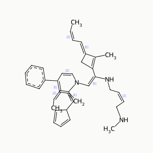 C=C/C=C(\C=C/N(/C=C(/NC/C=C\CNC)C1=C(C)/C(=C/C=C\C)C1)C(/C=C\C)=C/C1C=CC=C1)c1ccccc1